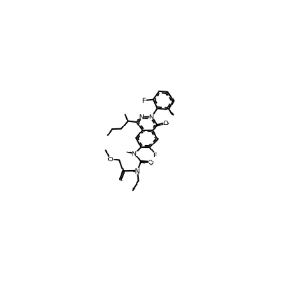 C=C(COC)N(CC)C(=O)N(C)c1cc2c(C(C)CCC)nn(-c3c(C)cccc3F)c(=O)c2cc1F